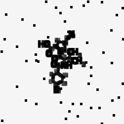 CC(C)C(NC(=O)c1ccc(Br)cc1)C(=O)N1C[C@H](C#N)C[C@H]1C(=O)O